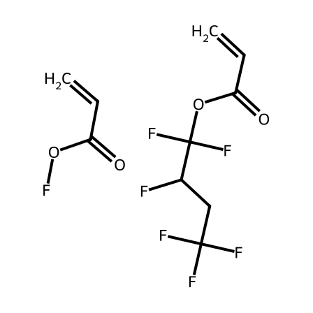 C=CC(=O)OC(F)(F)C(F)CC(F)(F)F.C=CC(=O)OF